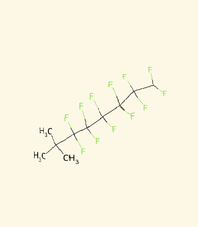 CC(C)(C)C(F)(F)C(F)(F)C(F)(F)C(F)(F)C(F)(F)C(F)F